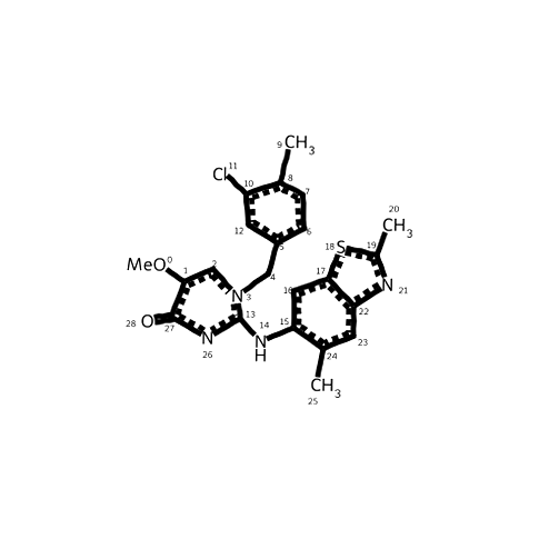 COc1cn(Cc2ccc(C)c(Cl)c2)c(Nc2cc3sc(C)nc3cc2C)nc1=O